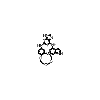 c1cc(Nc2nc(Nc3ccc4c(c3)OCCOCOCCO4)nc3[nH]cnc23)c2cc[nH]c2c1